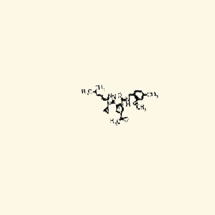 COc1cc(C)ccc1CNC(=O)[C@H]1CN(C(C)=O)C[C@@H]1c1nnc(CCCC(C)C)n1C1CC1